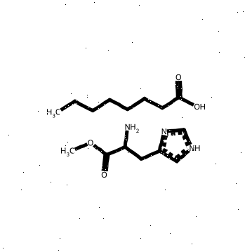 CCCCCCCC(=O)O.COC(=O)C(N)Cc1c[nH]cn1